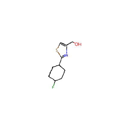 OCc1csc(C2CCC(F)CC2)n1